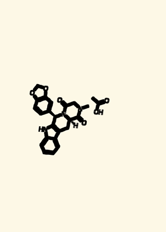 CC(=O)O.CN1CC(=O)N2[C@H](c3ccc4c(c3)OCO4)c3[nH]c4ccccc4c3C[C@@H]2C1=O